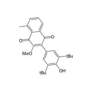 COC1=C(c2cc(C(C)(C)C)c(O)c(C(C)(C)C)c2)C(=O)c2cccc(C)c2C1=O